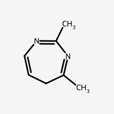 CC1=NC(C)=NC=CC1